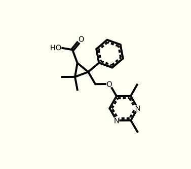 Cc1ncc(OCC2(c3ccccc3)C(C(=O)O)C2(C)C)c(C)n1